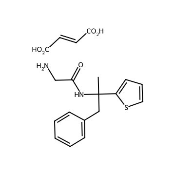 CC(Cc1ccccc1)(NC(=O)CN)c1cccs1.O=C(O)C=CC(=O)O